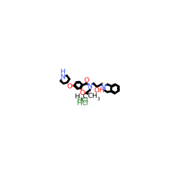 CC1(C)CN(CC(O)CN2CCc3ccccc3C2)C(=O)c2ccc(OC3CCNCC3)cc2O1.Cl.Cl